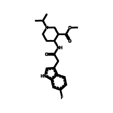 COC(=O)C1CN(C(C)C)CCC1NC(=O)Cc1c[nH]c2cc(F)ccc12